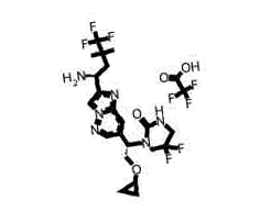 CC(C)(C[C@H](N)c1cn2ncc([C@@H](COC3CC3)N3CC(F)(F)CNC3=O)cc2n1)C(F)(F)F.O=C(O)C(F)(F)F